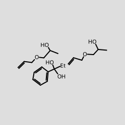 C=CCOCC(C)O.C=CCOCC(C)O.CCC(O)(O)c1ccccc1